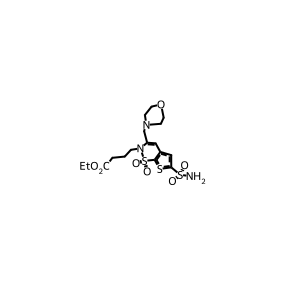 CCOC(=O)CCCN1C(CN2CCOCC2)=Cc2cc(S(N)(=O)=O)sc2S1(=O)=O